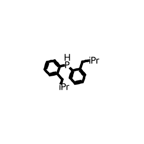 CC(C)Cc1ccccc1Pc1ccccc1CC(C)C